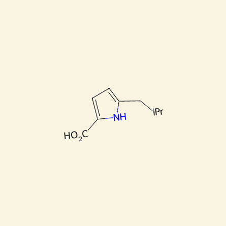 CC(C)Cc1ccc(C(=O)O)[nH]1